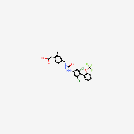 Cc1cc(CNC(=O)Nc2cc(Cl)c(-c3ccccc3OC(F)(F)F)c(Cl)c2)ccc1CC(=O)O